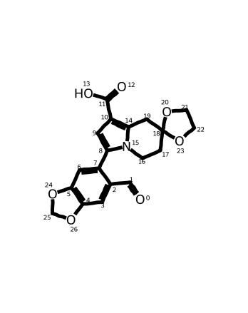 O=Cc1cc2c(cc1-c1cc(C(=O)O)c3n1CCC1(C3)OCCO1)OCO2